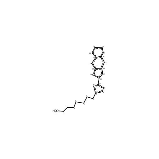 CCCCCCCCc1ccc(-c2cc3cc4ccccc4cc3s2)s1